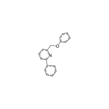 c1ccc(OCc2cccc(-c3ccccc3)n2)cc1